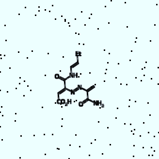 C=C(N=NC(=CC(=O)O)C(=O)NC=CCC)C(N)=O